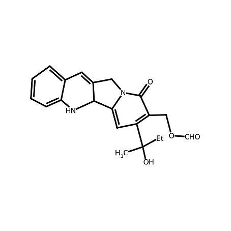 CCC(C)(O)c1cc2n(c(=O)c1COC=O)CC1=Cc3ccccc3NC12